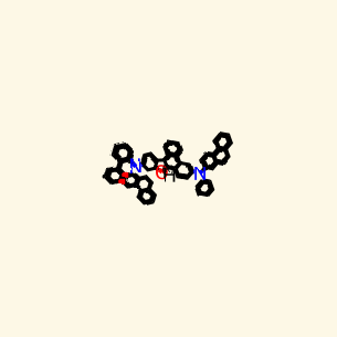 C1=CC2C(=c3ccccc3=C3C4=CC=C(N(c5ccccc5-c5ccccc5)c5cccc6c5CCc5ccccc5-6)CC4O[C@@H]32)C=C1N(c1ccccc1)c1ccc2c(ccc3ccccc32)c1